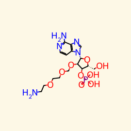 NCCOCCOCO[C@@H]1[C@H](OP(=O)(O)O)[C@@H](CO)O[C@H]1n1cnc2c(N)nccc21